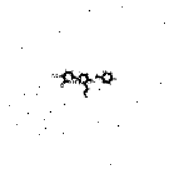 CC=Cc1cc(-c2ccc(C#N)c(=O)[nH]2)ccc1OCc1ccccc1